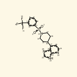 O=S(=O)(c1cccc(C(F)(F)F)c1)N1CCC(c2ccnc3[nH]cnc23)CC1